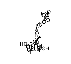 CCc1c(F)ccc2cc(O)cc(-c3ncc4c(N5C[C@@H]6C[C@H](C5)[C@H](O)C6)nc(OCC5(CN6CCC7(CC6)CC(CN6CCN(c8ccc9c(c8)CN([C@H]8CCC(=O)NC8=O)C9=O)CC6)C7)CC5)nc4c3F)c12